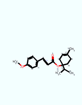 COc1ccc(/C=C/C(=O)OC2(C(C)C)CC=C(C)CC2)cc1